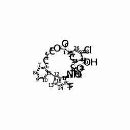 O=C1OCCCc2ccccc2-c2ccc(F)c(c2)NS(=O)(=O)c2cc1cc(Cl)c2O